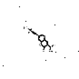 COC(=O)c1cc2ccc(C#CC(C)(C)O)cc2oc1=O